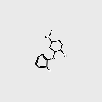 FNC1CCC(Cl)C(Nc2ccccc2Cl)C1